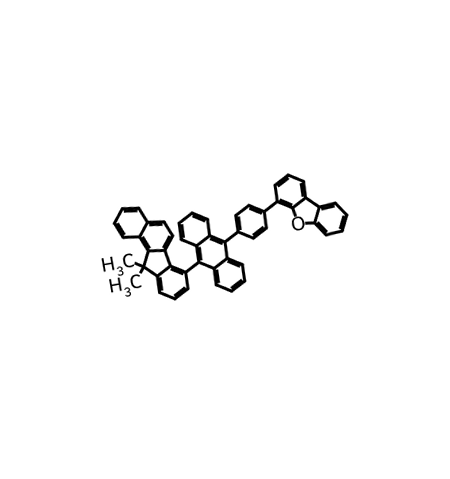 CC1(C)c2cccc(-c3c4ccccc4c(-c4ccc(-c5cccc6c5oc5ccccc56)cc4)c4ccccc34)c2-c2ccc3ccccc3c21